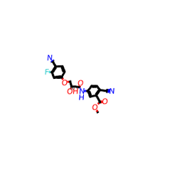 COC(=O)c1cc(NC(=O)[C@@H](O)COc2ccc(C#N)c(F)c2)ccc1C#N